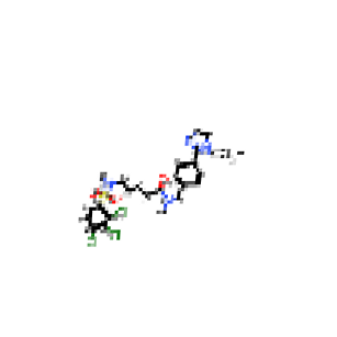 CN(Cc1ccc(C2=NCCN2C(=O)O)cc1)C(=O)CCCCN(C)S(=O)(=O)c1ccc(Cl)c(Cl)c1Cl